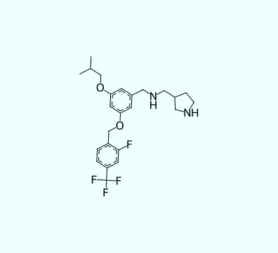 CC(C)COc1cc(CNCC2CCNC2)cc(OCc2ccc(C(F)(F)F)cc2F)c1